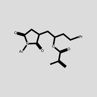 C=C(C)C(=O)OC(CCC(C)C)CC1CC(=O)N(C(C)=O)C1=O